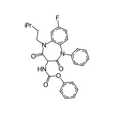 CC(C)CCN1C(=O)C(NC(=O)Oc2ccccc2)C(=O)N(c2ccccc2)c2ccc(F)cc21